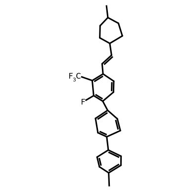 Cc1ccc(-c2ccc(-c3ccc(/C=C/C4CCC(C)CC4)c(C(F)(F)F)c3F)cc2)cc1